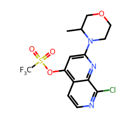 CC1COCCN1c1cc(OS(=O)(=O)C(F)(F)F)c2ccnc(Cl)c2n1